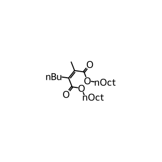 CCCCCCCCOC(=O)C(C)=C(CCCC)C(=O)OCCCCCCCC